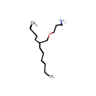 CCCCCCC(CCCC)COCCCN